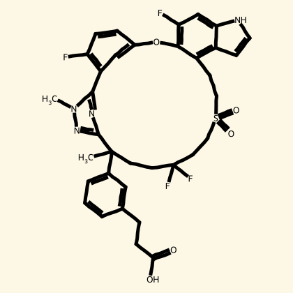 Cn1nc2nc1-c1cc(ccc1F)Oc1c(F)cc3[nH]ccc3c1CCS(=O)(=O)CCC(F)(F)CCC2(C)c1cccc(CCC(=O)O)c1